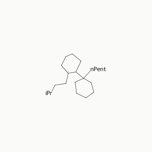 CCCCCC1(C2CCCC[C]2CCC(C)C)CCCCC1